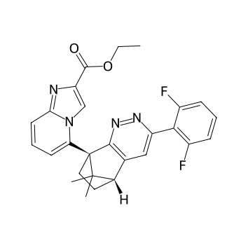 CCOC(=O)c1cn2c([C@@]34CC[C@@H](c5cc(-c6c(F)cccc6F)nnc53)C4(C)C)cccc2n1